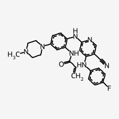 C=CC(=O)Nc1cc(N2CCN(C)CC2)ccc1Nc1cc(Nc2ccc(F)cc2)c(C#N)cn1